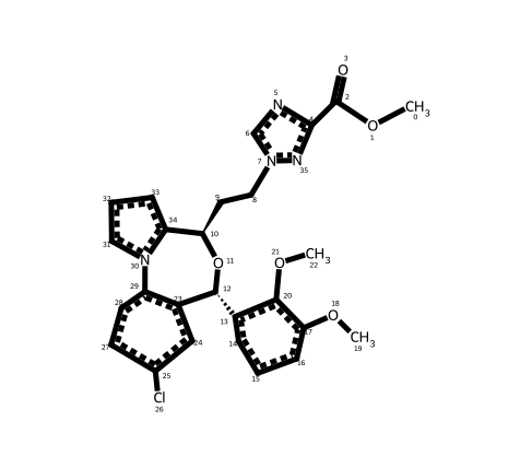 COC(=O)c1ncn(CC[C@H]2O[C@H](c3cccc(OC)c3OC)c3cc(Cl)ccc3-n3cccc32)n1